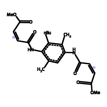 CCCCc1c(C)c(NC(=O)/C=C\C(=O)OC)cc(C)c1NC(=O)/C=C\C(=O)OC